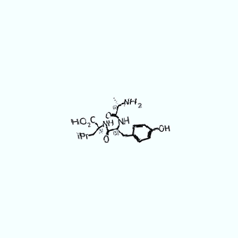 CC(C)C[C@H](NC(=O)[C@H](Cc1ccc(O)cc1)NC(=O)[C@H](C)N)C(=O)O